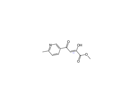 COC(=O)/C(O)=C/C(=O)c1ccc(C)nc1